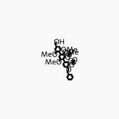 COc1cc(CO)cc(OC)c1-c1cc(OC)c(-c2ccc(OCc3ccccc3)c(OS(C)(=O)=O)c2)c(OS(C)(=O)=O)c1OC